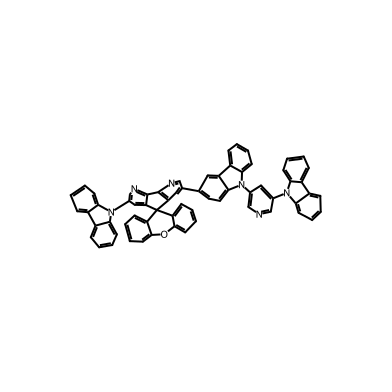 c1ccc2c(c1)Oc1ccccc1C21c2cc(-c3ccc4c(c3)c3ccccc3n4-c3cncc(-n4c5ccccc5c5ccccc54)c3)cnc2-c2ncc(-n3c4ccccc4c4ccccc43)cc21